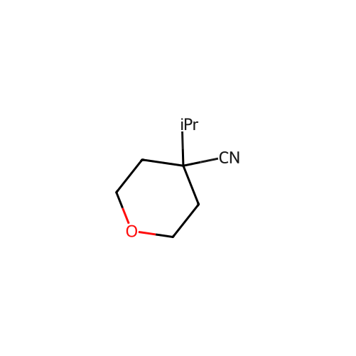 CC(C)C1(C#N)CCOCC1